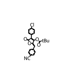 CC(C)(C)C(=O)OC1=C(c2ccc(Cl)cc2)C(=O)OC1=Cc1ccc(C#N)cc1